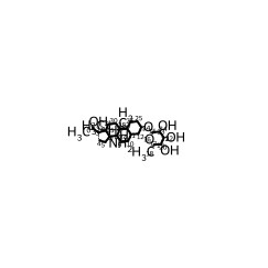 C[C@H](O)[C@H]1CC[C@]2(N)[C@@H]3CCC4C[C@@H](O[C@@H]5O[C@@H](C)[C@H](O)[C@@H](O)[C@H]5O)CC[C@]4(C)[C@H]3CC[C@]12C